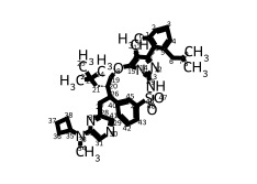 Cc1cccc(CC(C)C)c1-c1nc2nc(c1C)OC[C@@H](CC(C)(C)C)C(Cc1cncc(N(C)C3CCC3)n1)c1cccc(c1)S(=O)(=O)N2